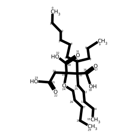 CCCCCCC(CCC)C(CCCCC)(C(=O)O)C(CC(=O)O)(OCCCCC)C(=O)O